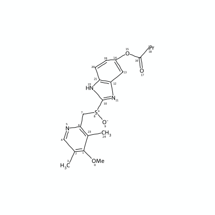 COc1c(C)cnc(C[S+]([O-])c2nc3cc(OC(=O)C(C)C)ccc3[nH]2)c1C